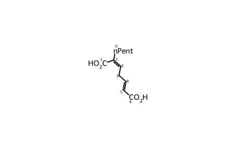 CCCCCC(=CCC=CC(=O)O)C(=O)O